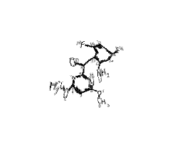 COc1cc(OC)nc(C(Cl)c2c(N)cc(F)cc2F)n1